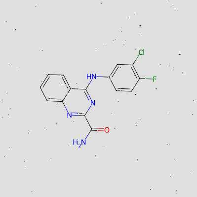 NC(=O)c1nc(Nc2ccc(F)c(Cl)c2)c2c[c]ccc2n1